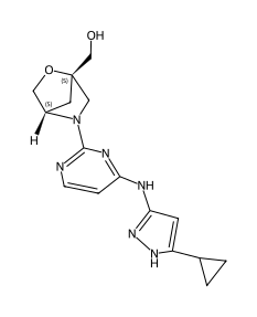 OC[C@@]12C[C@@H](CO1)N(c1nccc(Nc3cc(C4CC4)[nH]n3)n1)C2